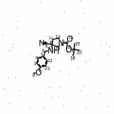 COc1ccc(CNC2(C#N)CCN(C(=O)OC(C)(C)C)C2)cc1